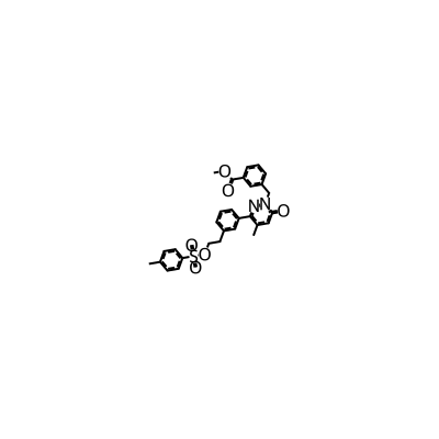 COC(=O)c1cccc(Cn2nc(-c3cccc(CCOS(=O)(=O)c4ccc(C)cc4)c3)c(C)cc2=O)c1